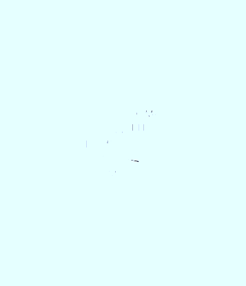 COPO[C@H]1[C@@H](F)CO[C@@H]1C